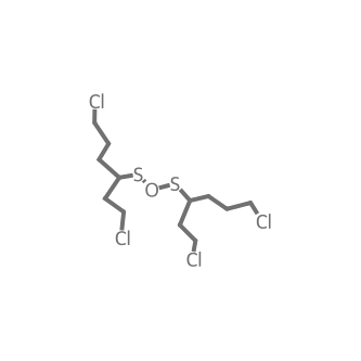 ClCCCC(CCCl)SOSC(CCCl)CCCCl